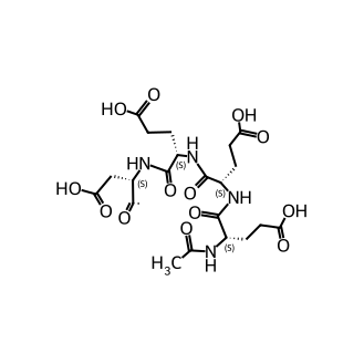 CC(=O)N[C@@H](CCC(=O)O)C(=O)N[C@@H](CCC(=O)O)C(=O)N[C@@H](CCC(=O)O)C(=O)N[C@H]([C]=O)CC(=O)O